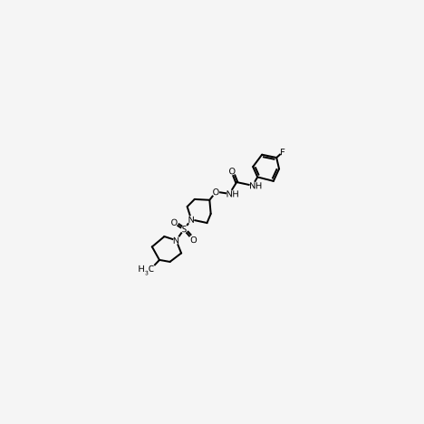 CC1CCN(S(=O)(=O)N2CCC(ONC(=O)Nc3ccc(F)cc3)CC2)CC1